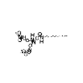 CCCCCCCCCCCCCCCCNC(=O)c1ccc(-c2nc(-c3ccc(C4=NOC(C(=O)OC(C)(C)C)C4)cc3)c(-c3ccc(/C=C/C(=O)NCC4CCCO4)cc3)[nH]2)cc1